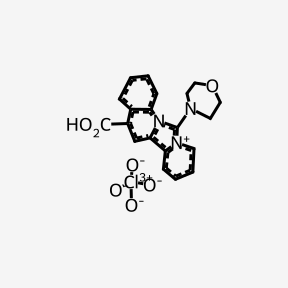 O=C(O)c1cc2c3cccc[n+]3c(N3CCOCC3)n2c2ccccc12.[O-][Cl+3]([O-])([O-])[O-]